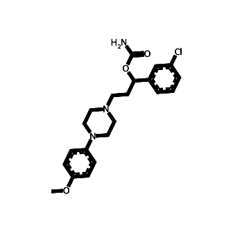 COc1ccc(N2CCN(CCC(OC(N)=O)c3cccc(Cl)c3)CC2)cc1